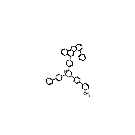 CC1C=C(c2ccc(C3CC(C4=CC=C(c5cc6c(c7ccccc57)Cc5cccc(-c7ccccc7)c5-6)CC4)=NC(c4ccc(-c5ccccc5)cc4)C3)cc2)C=CC1